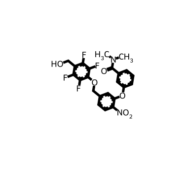 CN(C)C(=O)c1cccc(Oc2cc(COc3c(F)c(F)c(CO)c(F)c3F)ccc2[N+](=O)[O-])c1